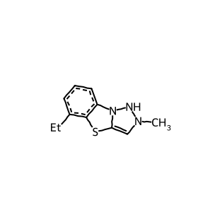 CCc1cccc2c1SC1=CN(C)NN12